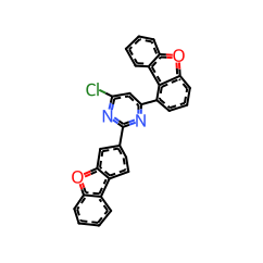 Clc1cc(-c2cccc3oc4ccccc4c23)nc(-c2ccc3c(c2)oc2ccccc23)n1